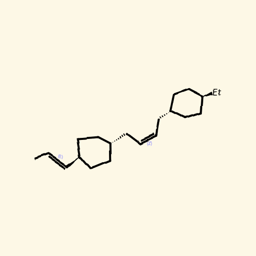 C/C=C/[C@H]1CC[C@H](C/C=C\C[C@H]2CC[C@H](CC)CC2)CC1